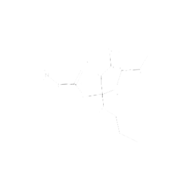 CCCOC(CC[SiH3])(OCCC)OC(=O)CN